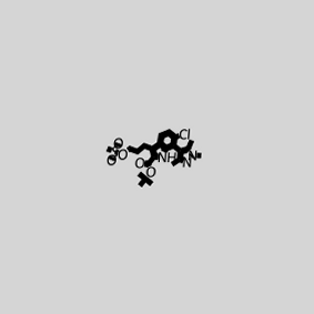 Cc1nn(C)c(C)c1-c1c(Cl)ccc2c(CCCOS(C)(=O)=O)c(C(=O)OC(C)(C)C)[nH]c12